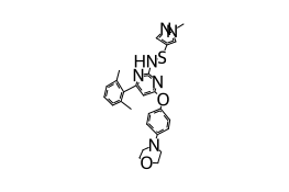 Cc1cccc(C)c1-c1cc(Oc2ccc(N3CCOCC3)cc2)nc(NSc2cnn(C)c2)n1